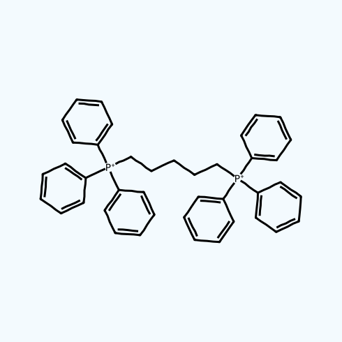 c1ccc([P+](CCCCC[P+](c2ccccc2)(c2ccccc2)c2ccccc2)(c2ccccc2)c2ccccc2)cc1